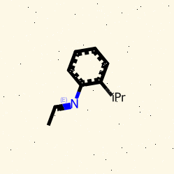 C/C=N/c1ccccc1C(C)C